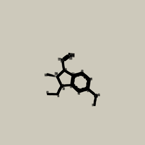 CCN1c2cc(OC)ccc2C(N=N)[C@H]1C